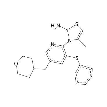 CC1=CSC(N)N1c1ncc(CC2CCOCC2)cc1Sc1ccccc1